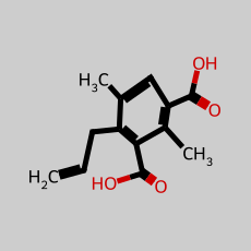 C=CCc1c(C)cc(C(=O)O)c(C)c1C(=O)O